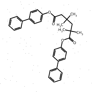 CC(C)(CC(=O)Oc1ccc(-c2ccccc2)cc1)CC(C)(C)C(=O)Oc1ccc(-c2ccccc2)cc1